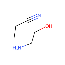 CCC#N.NCCO